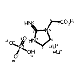 N=C1NCCN1CC(=O)O.O=P([O-])([O-])O.[Li+].[Li+]